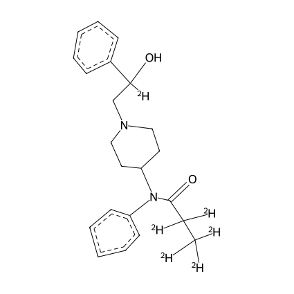 [2H]C(O)(CN1CCC(N(C(=O)C([2H])([2H])C([2H])([2H])[2H])c2ccccc2)CC1)c1ccccc1